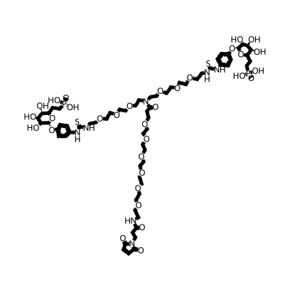 O=C(CCN1C(=O)C=CC1=O)NCCOCCOCCOCCOCCOCCOCCC(=O)N(CCOCCOCCOCCNC(=S)Nc1ccc(O[C@H]2OC(CCP(=O)(O)O)[C@@H](O)[C@H](O)C2O)cc1)CCOCCOCCOCCNC(=S)Nc1ccc(O[C@H]2OC(CCP(=O)(O)O)[C@@H](O)[C@H](O)C2O)cc1